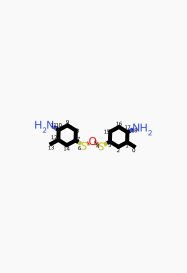 CC1CC(SOSC2CCC(N)C(C)C2)CCC1N